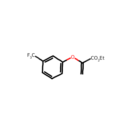 C=C(Oc1cccc(C(F)(F)F)c1)C(=O)OCC